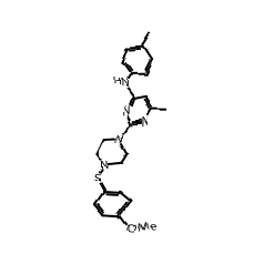 COc1ccc(SN2CCN(c3nc(C)cc(Nc4ccc(C)cc4)n3)CC2)cc1